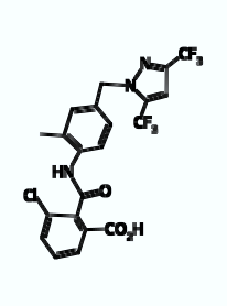 Cc1cc(Cn2nc(C(F)(F)F)cc2C(F)(F)F)ccc1NC(=O)c1c(Cl)cccc1C(=O)O